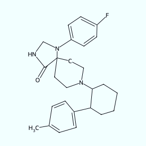 Cc1ccc(C2CCCCC2N2CCC3(CC2)C(=O)NCN3c2ccc(F)cc2)cc1